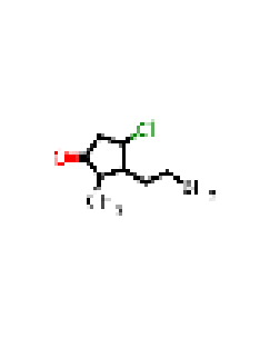 BCCC1C(Cl)CC(=O)C1C